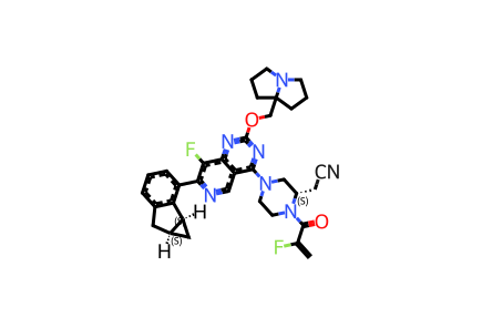 C=C(F)C(=O)N1CCN(c2nc(OCC34CCCN3CCC4)nc3c(F)c(-c4cccc5c4[C@H]4C[C@H]4C5)ncc23)C[C@@H]1CC#N